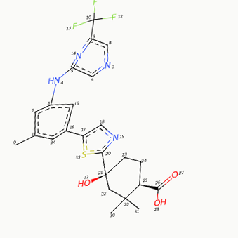 Cc1cc(Nc2cncc(C(F)(F)F)n2)cc(-c2cnc([C@]3(O)CC[C@@H](C(=O)O)C(C)(C)C3)s2)c1